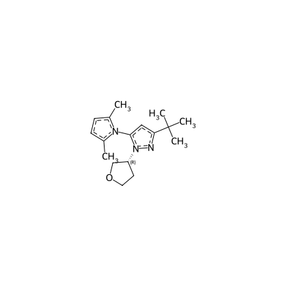 Cc1ccc(C)n1-c1cc(C(C)(C)C)nn1[C@@H]1CCOC1